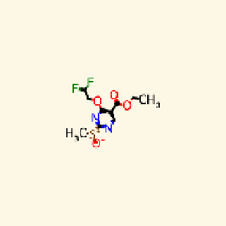 CCOC(=O)c1cnc([S+](C)[O-])nc1OCC(F)F